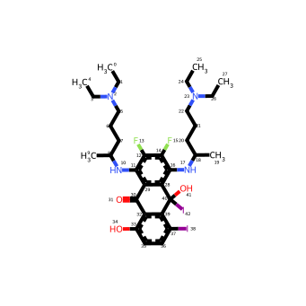 CCN(CC)CCCC(C)Nc1c(F)c(F)c(NC(C)CCCN(CC)CC)c2c1C(=O)c1c(O)ccc(I)c1C2(O)I